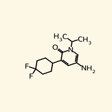 CC(C)n1cc(N)cc(C2CCC(F)(F)CC2)c1=O